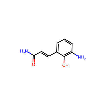 NC(=O)C=Cc1cccc(N)c1O